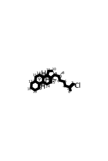 CC(=CCl)CCC[C@@H](C)[C@H]1CC[C@H]2[C@@H]3CCC4CCCC[C@]4(C)[C@H]3CC[C@]12C